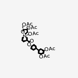 CC(=O)OC[C@H]1O[C@@H]([n+]2cccc(C(=O)Oc3ccc(-c4cc(OC(C)=O)cc(OC(C)=O)c4)cc3)c2)[C@H](OC(C)=O)[C@@H]1OC(C)=O